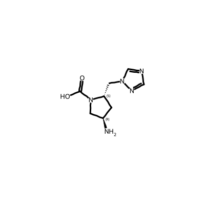 N[C@@H]1C[C@@H](Cn2cncn2)N(C(=O)O)C1